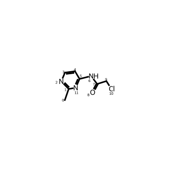 Cc1nccc(NC(=O)CCl)n1